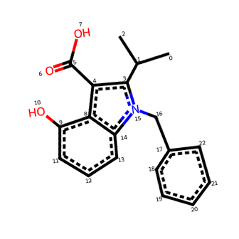 CC(C)c1c(C(=O)O)c2c(O)cccc2n1Cc1ccccc1